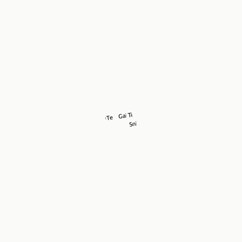 [Ga].[Sn].[Te].[Ti]